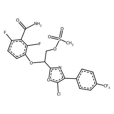 CS(=O)(=O)OCC(Oc1ccc(F)c(C(N)=O)c1F)c1nc(-c2ccc(C(F)(F)F)cc2)c(Cl)o1